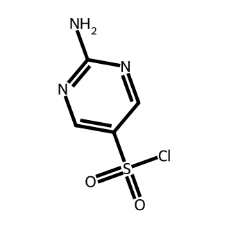 Nc1ncc(S(=O)(=O)Cl)cn1